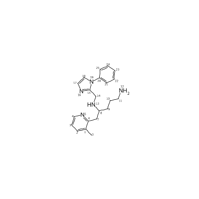 Cc1cccnc1CC(CCCN)NCc1nccn1-c1ccccc1